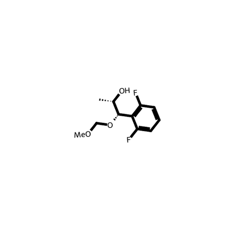 COCO[C@@H](c1c(F)cccc1F)[C@H](C)O